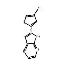 Cc1csc(-c2cc3nccnc3[nH]2)c1